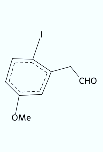 COc1ccc(I)c(CC=O)c1